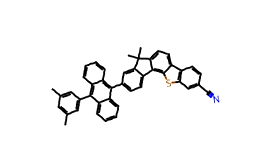 Cc1cc(C)cc(-c2c3ccccc3c(-c3ccc4c(c3)C(C)(C)c3ccc5c(sc6cc(C#N)ccc65)c3-4)c3ccccc23)c1